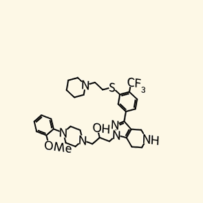 COc1ccccc1N1CCN(CC(O)Cn2nc(-c3ccc(C(F)(F)F)c(SCCN4CCCCC4)c3)c3c2CCNC3)CC1